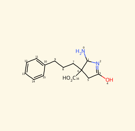 NC1N=C(O)CC1(CCCc1ccccc1)C(=O)O